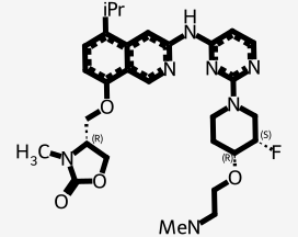 CNCCO[C@@H]1CCN(c2nccc(Nc3cc4c(C(C)C)ccc(OC[C@@H]5COC(=O)N5C)c4cn3)n2)C[C@@H]1F